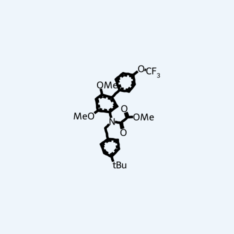 COC(=O)C(=O)N(Cc1ccc(C(C)(C)C)cc1)c1cc(-c2ccc(OC(F)(F)F)cc2)c(OC)cc1OC